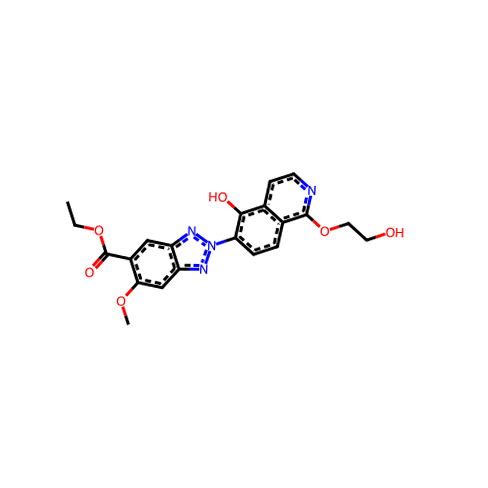 CCOC(=O)c1cc2nn(-c3ccc4c(OCCO)nccc4c3O)nc2cc1OC